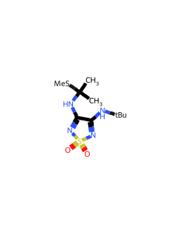 CSC(C)(C)NC1=NS(=O)(=O)N=C1NC(C)(C)C